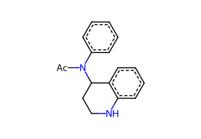 CC(=O)N(c1ccccc1)C1CCNc2ccccc21